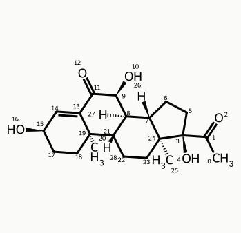 CC(=O)[C@@]1(O)CC[C@H]2[C@@H]3[C@H](O)C(=O)C4=C[C@H](O)CC[C@]4(C)[C@H]3CC[C@@]21C